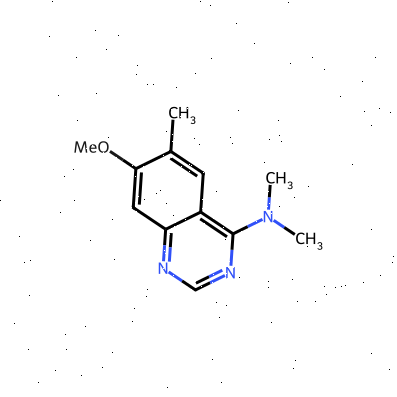 COc1cc2ncnc(N(C)C)c2cc1C